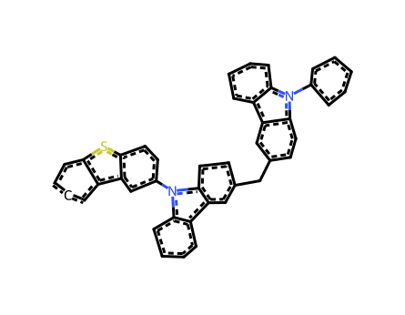 c1ccc(-n2c3ccccc3c3cc(Cc4ccc5c(c4)c4ccccc4n5-c4ccc5sc6ccccc6c5c4)ccc32)cc1